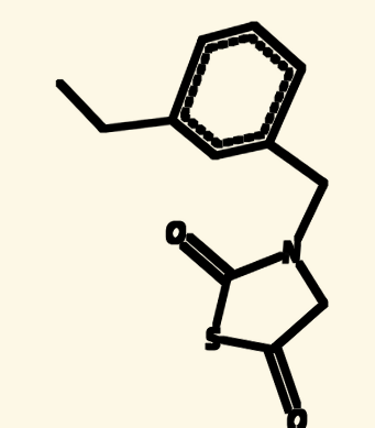 CCc1cccc(CN2CC(=O)SC2=O)c1